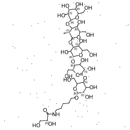 C[C@H]1C(O[C@@H]2OC(CO)[C@H](O)C(O)[C@@H]2O)[C@@H](O)C(CO)O[C@H]1O[C@@H]1C(O)[C@@H](O[C@H]2C(CO)O[C@@H](O[C@@H]3C(CO)O[C@@H](OCCCCCNC(=O)[C@H](O)CO)[C@@H](O)C3O)[C@@H](O)C2O)OC(CO)[C@@H]1O